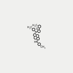 Cc1ccc(Nc2ccc3ccc4c(N(c5ccc(C)cc5)c5cccc6c5oc5c(C)cccc56)ccc5ccc2c3c54)cc1